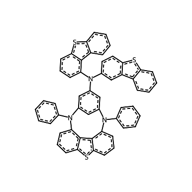 c1ccc(N2c3cc(N(c4ccc5sc6ccccc6c5c4)c4cccc5sc6ccccc6c45)cc(c3)N(c3ccccc3)c3cccc4sc5cccc2c5c34)cc1